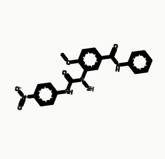 COc1ccc(C(=O)Nc2ccccc2)cc1N(S)C(=O)Nc1ccc([N+](=O)[O-])cc1